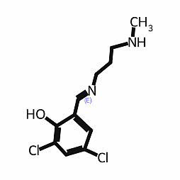 CNCCC/N=C/c1cc(Cl)cc(Cl)c1O